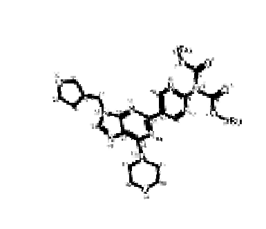 CC(C)(C)OC(=O)N(C(=O)OC(C)(C)C)c1ncc(-c2nc(N3CCOCC3)c3ncn(CC4CCOC4)c3n2)cn1